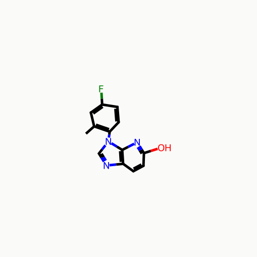 Cc1cc(F)ccc1-n1cnc2ccc(O)nc21